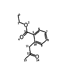 CCOC(=O)c1ccccc1CC(C)=O